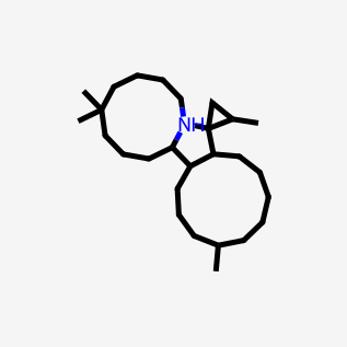 CC1CCCCCC(C2(C)CC2C)C(C2CCCC(C)(C)CCCCN2)CCC1